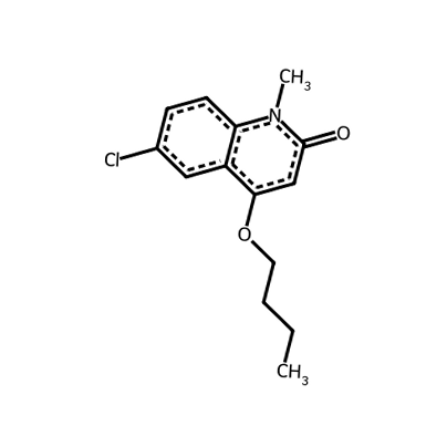 CCCCOc1cc(=O)n(C)c2ccc(Cl)cc12